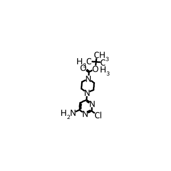 CC(C)(C)OC(=O)N1CCN(c2cc(N)nc(Cl)n2)CC1